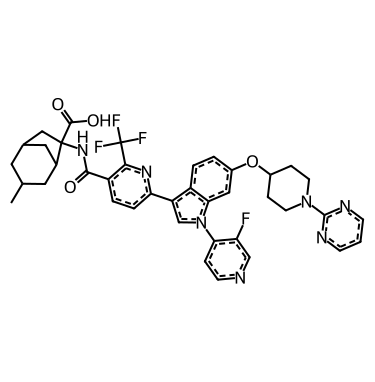 CC1CC2CC(C1)C(NC(=O)c1ccc(-c3cn(-c4ccncc4F)c4cc(OC5CCN(c6ncccn6)CC5)ccc34)nc1C(F)(F)F)(C(=O)O)C2